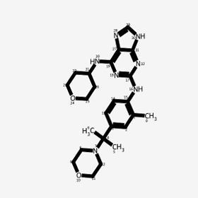 Cc1cc(C(C)(C)N2CCOCC2)ccc1Nc1nc(NC2CCOCC2)c2nc[nH]c2n1